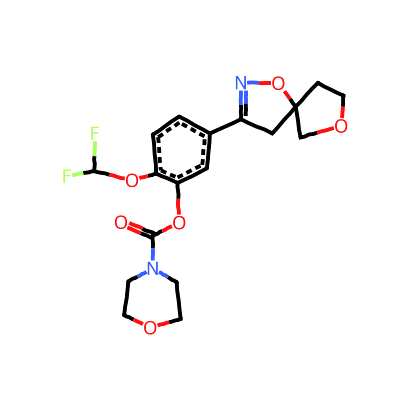 O=C(Oc1cc(C2=NOC3(CCOC3)C2)ccc1OC(F)F)N1CCOCC1